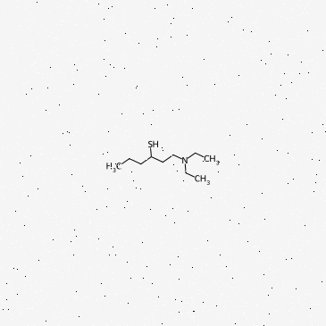 CCCC(S)CCN(CC)CC